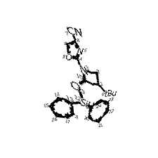 CC(C)(C)C1CN(c2nc(C#N)co2)C1O[SiH](c1ccccc1)c1ccccc1